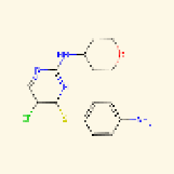 Nc1ccc(Sc2nc(NC3CCOCC3)ncc2Cl)cc1